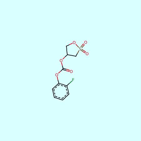 O=C(Oc1ccccc1F)OC1COS(=O)(=O)C1